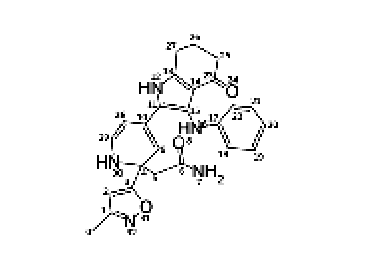 Cc1cc(C2(CC(N)=O)C=C(c3[nH]c4c(c3Nc3ccccc3)C(=O)CCC4)C=CN2)on1